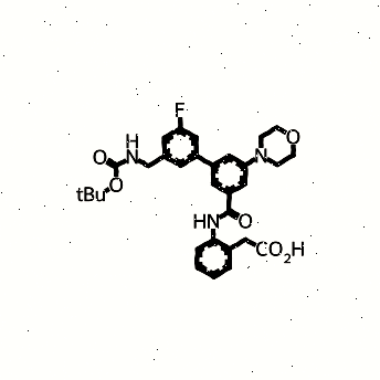 CC(C)(C)OC(=O)NCc1cc(F)cc(-c2cc(C(=O)Nc3ccccc3CC(=O)O)cc(N3CCOCC3)c2)c1